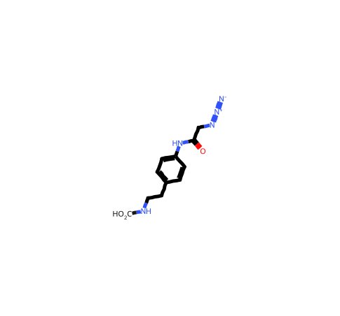 [N-]=[N+]=NCC(=O)Nc1ccc(CCNC(=O)O)cc1